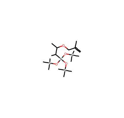 C=C(C)COC(C)C(C)[Si](O[Si](C)(C)C)(O[Si](C)(C)C)O[Si](C)(C)C